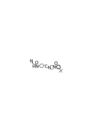 COc1ccc(C(C)(C)C)cc1N1CCN(CC[C@H]2CC[C@H](NC(=O)CC#N)CC2)CC1